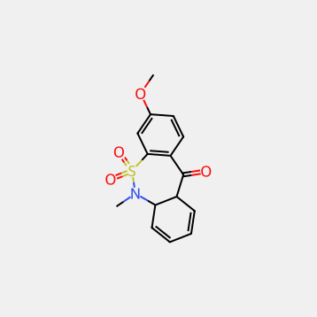 COc1ccc2c(c1)S(=O)(=O)N(C)C1C=CC=CC1C2=O